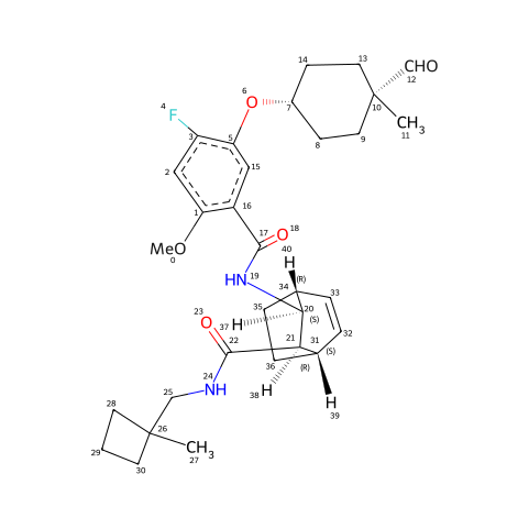 COc1cc(F)c(O[C@H]2CC[C@@](C)(C=O)CC2)cc1C(=O)N[C@@H]1[C@H](C(=O)NCC2(C)CCC2)[C@@H]2C=C[C@H]1CC2